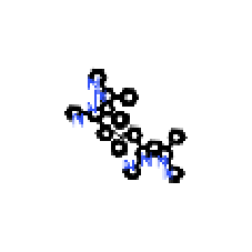 c1ccc(-c2cc(-c3ccccn3)nc3c2ccc2c(-c4cccc([Si](c5ccccc5)(c5ccccc5)c5cccc(-c6cc(-c7ccccn7)nc7c6ccc6c(-c8ccccc8)cc(-c8ccccn8)nc67)c5)c4)cc(-c4ccccn4)nc23)cc1